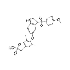 COc1ccc(S(=O)(=O)c2c[nH]c3ccc(Oc4c(C)cc(CS(=O)(=O)O)cc4C)cc23)cc1